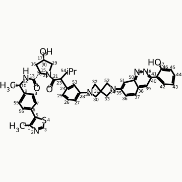 Cc1ncsc1-c1ccc(C(C)NC(=O)[C@@H]2C[C@@H](O)CN2C(=O)C(c2cccc(N3CC4(C3)CN(c3ccc5cc(-c6ccccc6O)nnc5c3)C4)c2)C(C)C)cc1